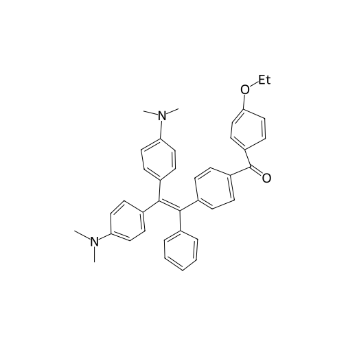 CCOc1ccc(C(=O)c2ccc(C(=C(c3ccc(N(C)C)cc3)c3ccc(N(C)C)cc3)c3ccccc3)cc2)cc1